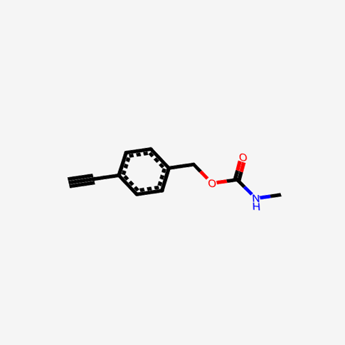 C#Cc1ccc(COC(=O)NC)cc1